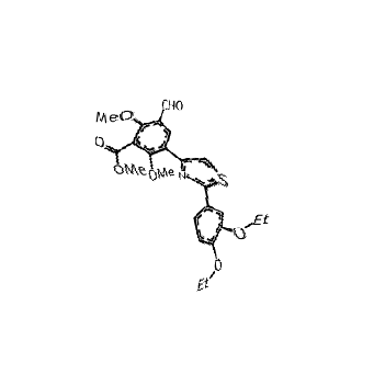 CCOc1ccc(-c2nc(-c3cc(C=O)c(OC)c(C(=O)OC)c3OC)cs2)cc1OCC